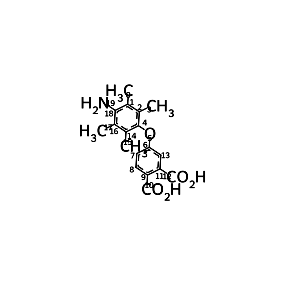 Cc1c(C)c(Oc2ccc(C(=O)O)c(C(=O)O)c2)c(C)c(C)c1N